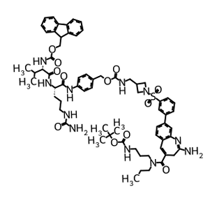 CCCN(CCCNC(=O)OC(C)(C)C)C(=O)C1=Cc2ccc(-c3cccc(S(=O)(=O)N4CC(CNC(=O)OCc5ccc(NC(=O)[C@H](CCCNC(N)=O)NC(=O)[C@@H](NC(=O)OCC6c7ccccc7-c7ccccc76)C(C)C)cc5)C4)c3)cc2N=C(N)C1